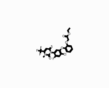 CCOC(=O)COc1ccccc1Oc1cc(-n2c(=S)cc(C(F)(F)F)n(C)c2=O)c(F)cc1Cl